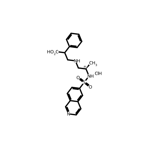 C[C@H](CNCC(C(=O)O)c1ccccc1)NS(=O)(=O)c1ccc2cnccc2c1.Cl